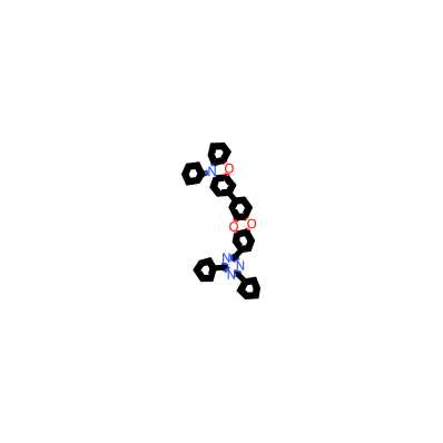 c1ccc(-c2nc(-c3ccccc3)nc(-c3ccc4c(c3)Oc3cc(-c5ccc6c(c5)Oc5ccccc5N6c5ccccc5)ccc3O4)n2)cc1